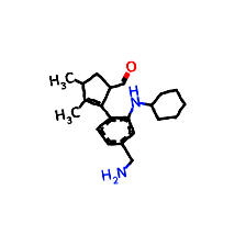 CC1=C(c2ccc(CN)cc2NC2CCCCC2)C(C=O)CC1C